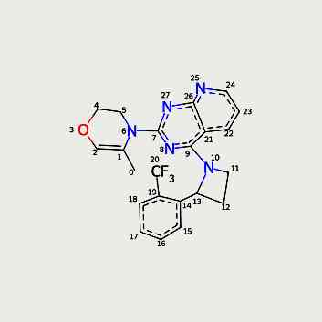 CC1=COCCN1c1nc(N2CCC2c2ccccc2C(F)(F)F)c2cccnc2n1